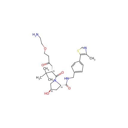 Cc1ncsc1-c1ccc(CNC(=O)[C@@H]2C[C@@H](O)CN2C(=O)[C@@H](CC(=O)CCOCCN)C(C)(C)C)cc1